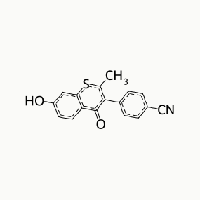 Cc1sc2cc(O)ccc2c(=O)c1-c1ccc(C#N)cc1